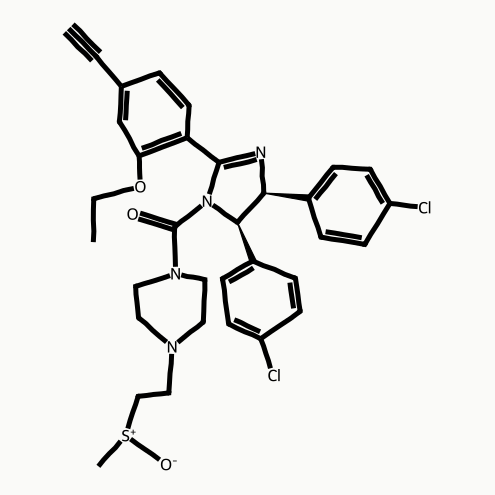 C#Cc1ccc(C2=N[C@@H](c3ccc(Cl)cc3)[C@@H](c3ccc(Cl)cc3)N2C(=O)N2CCN(CC[S+](C)[O-])CC2)c(OCC)c1